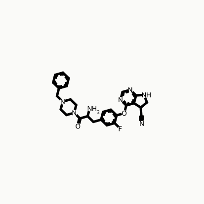 N#CC1CNc2ncnc(Oc3ccc(CC(N)C(=O)N4CCN(Cc5ccccc5)CC4)cc3F)c21